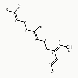 C/C=C/C(CC/C=C(\C)CCC=C(C)C)=N\O